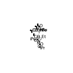 C=C(C)C(=O)O.C=CC(=O)OC.C=CC(=O)OCC.C=CC(=O)OCCCC.CC(C)OC(=O)N=NC(=O)OC(C)C